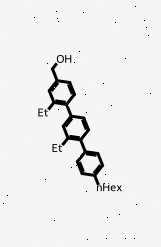 CCCCCCc1ccc(-c2ccc(-c3ccc(CO)cc3CC)cc2CC)cc1